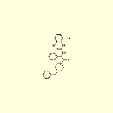 CC(C)c1cccc(C(C)C)c1NC(=O)NC(C(=O)N1CCC(Cc2ccccc2)CC1)c1ccccc1